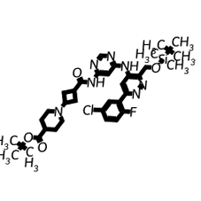 CC(C)(C)OC(=O)C1CCN(C2CC(C(=O)Nc3cc(Nc4cc(-c5cc(Cl)ccc5F)nnc4CO[Si](C)(C)C(C)(C)C)ncn3)C2)CC1